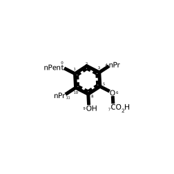 CCCCCc1cc(CCC)c(OC(=O)O)c(O)c1CCC